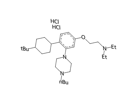 CCCCN1CCN(c2cc(OCCN(CC)CC)ccc2C2CCC(C(C)(C)C)CC2)CC1.Cl.Cl